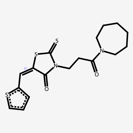 O=C(CCN1C(=O)/C(=C\c2cccs2)SC1=S)N1CCCCCC1